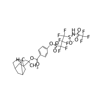 CC(C)(OC(=O)c1ccc(OS(=O)(=O)C(F)(F)C(F)(F)C(F)(F)[S+]([O-])NS(=O)(=O)C(F)(F)F)cc1)C12CC3CC(CC(C3)C1)C2